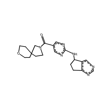 O=C(c1cnc(NC2CCc3ncncc32)nc1)N1CCC2(CCOCC2)C1